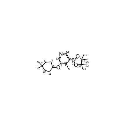 Cc1c(OC2CCC(C)(C)CC2)cncc1B1OC(C)(C)C(C)(C)O1